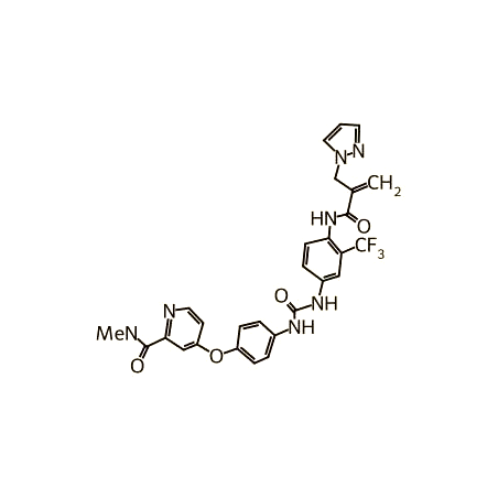 C=C(Cn1cccn1)C(=O)Nc1ccc(NC(=O)Nc2ccc(Oc3ccnc(C(=O)NC)c3)cc2)cc1C(F)(F)F